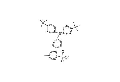 CC(C)(C)c1ccc([S+](c2ccccc2)c2ccc(C(C)(C)C)cc2)cc1.Cc1ccc(S(=O)(=O)[O-])cc1